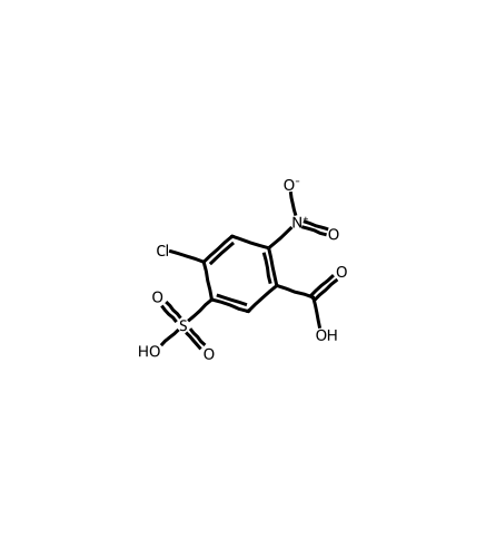 O=C(O)c1cc(S(=O)(=O)O)c(Cl)cc1[N+](=O)[O-]